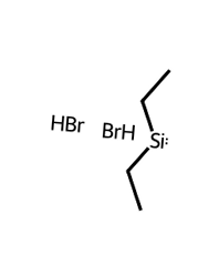 Br.Br.CC[Si]CC